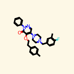 Cc1ccc(CCOc2c(N3CCN(Cc4ccc(F)c(C)c4)CC3)cnn(-c3ccccc3)c2=O)cc1